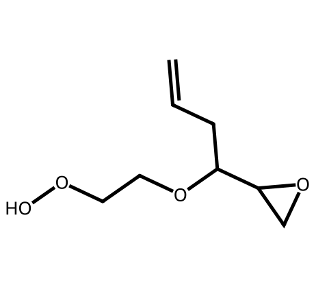 C=CCC(OCCOO)C1CO1